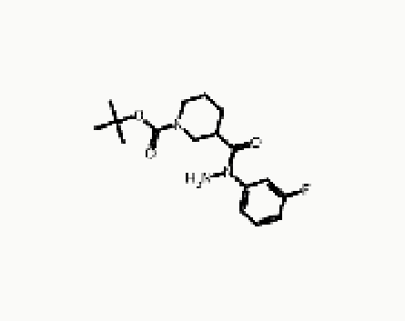 CC(C)(C)OC(=O)N1CCCC(C(=O)N(N)c2cccc(F)c2)C1